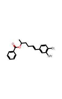 CCCc1cc(C=CCCC(C)OC(=O)c2ccccc2)ccc1CC